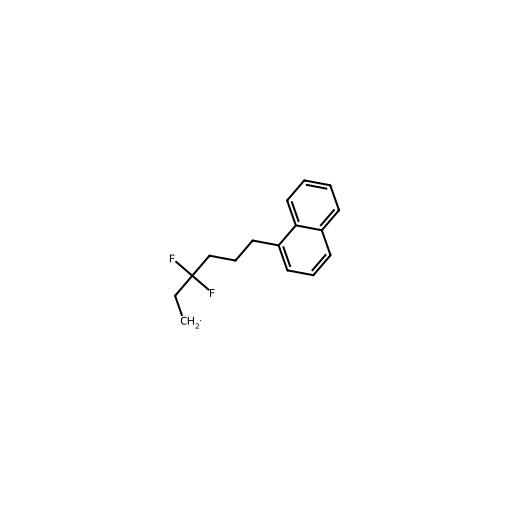 [CH2]CC(F)(F)CCCc1cccc2ccccc12